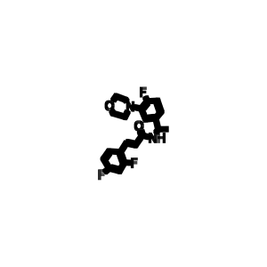 CC(NC(=O)C=Cc1ccc(F)cc1F)c1ccc(F)c(N2CCOCC2)c1